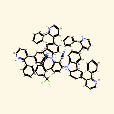 N#Cc1cccc(C(F)(F)F)c1-c1ccc(-n2c3ccc(-c4cccnc4-c4ccccc4)cc3c3cc(-c4cccnc4-c4ccccc4)ccc32)c(C#N)c1-n1c2ccc(-c3cccnc3-c3ccccc3)cc2c2cc(-c3cccnc3-c3ccccc3)ccc21